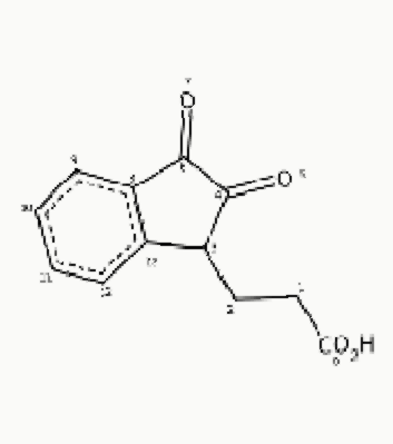 O=C(O)CCC1C(=O)C(=O)c2ccccc21